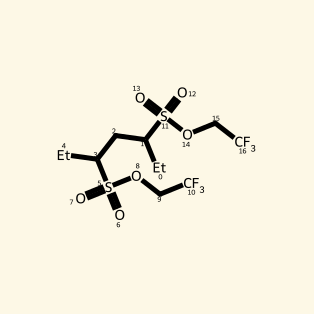 CCC(CC(CC)S(=O)(=O)OCC(F)(F)F)S(=O)(=O)OCC(F)(F)F